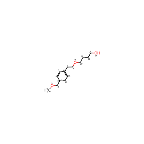 COCc1ccc(CCOCCCCO)cc1